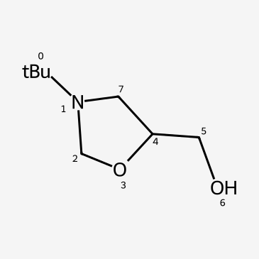 CC(C)(C)N1COC(CO)C1